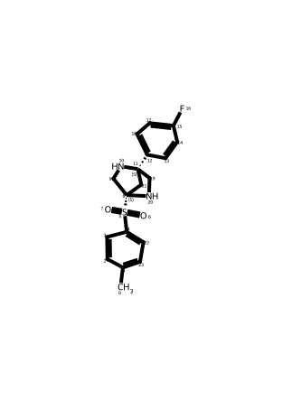 Cc1[c]cc(S(=O)(=O)[C@@]23CN[C@@](c4ccc(F)cc4)(CN2)C3)cc1